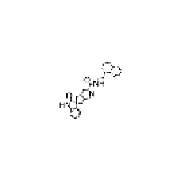 O=C(NCCC1CCCC2C=CC=CC21)c1cc2c(cn1)CC1(C2)C(=O)Nc2ccccc21